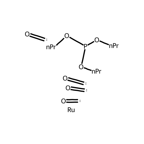 CCCOP(OCCC)OCCC.[C]=O.[C]=O.[C]=O.[C]=O.[Ru]